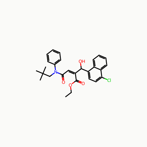 CCOC(=O)C(=CC(=O)N(CC(C)(C)C)c1ccccc1)C(O)c1ccc(Cl)c2ccccc12